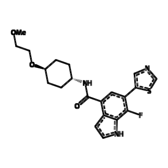 COCCO[C@H]1CC[C@H](NC(=O)c2cc(-c3cncs3)c(F)c3[nH]ccc23)CC1